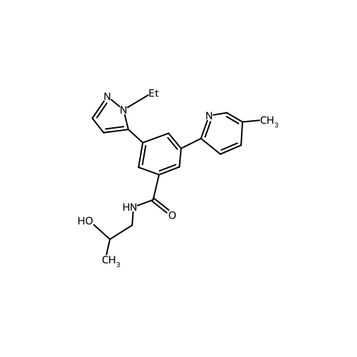 CCn1nccc1-c1cc(C(=O)NCC(C)O)cc(-c2ccc(C)cn2)c1